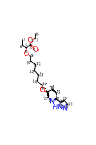 CCOC(=O)C(CC)OCCCCCCCOc1ccc(-c2ccn[nH]2)nc1